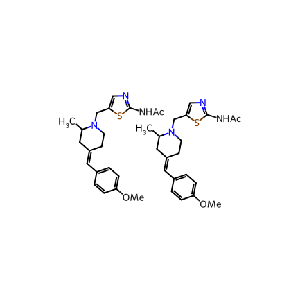 COc1ccc(C=C2CCN(Cc3cnc(NC(C)=O)s3)C(C)C2)cc1.COc1ccc(C=C2CCN(Cc3cnc(NC(C)=O)s3)C(C)C2)cc1